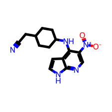 N#CCC1CCC(Nc2c([N+](=O)[O-])cnc3[nH]ccc23)CC1